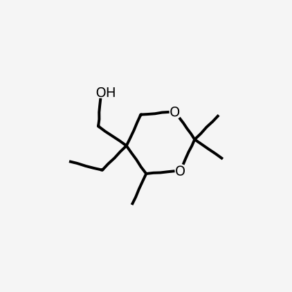 CCC1(CO)COC(C)(C)OC1C